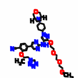 COCCOCCOCCOc1nn(C2CCC(N3[C@@H]4CC[C@H]3COC4)CC2)cc1Nc1ncc(-c2ccc(C#N)c(O[C@@H](C)Cn3cnnn3)c2)cn1